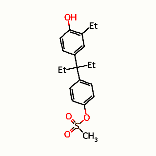 CCc1cc(C(CC)(CC)c2ccc(OS(C)(=O)=O)cc2)ccc1O